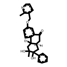 CCC12CC(C)(O)C(O)(c3ccccc3)C[C@@H]1CC(=O)c1cc(OCc3cccnc3C)ccc12